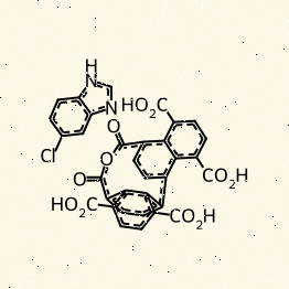 Clc1ccc2[nH]cnc2c1.O=C(O)c1ccc(C(=O)O)c2c3ccc(c(=O)oc(=O)c4ccc3c3c(C(=O)O)ccc(C(=O)O)c43)c12